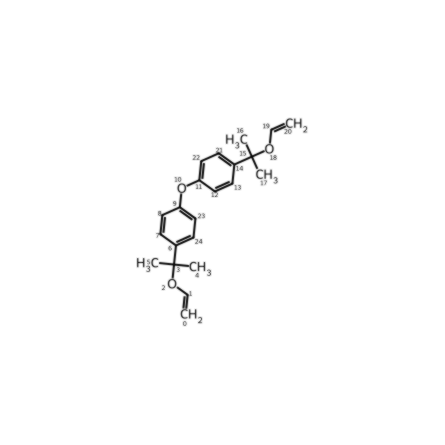 C=COC(C)(C)c1ccc(Oc2ccc(C(C)(C)OC=C)cc2)cc1